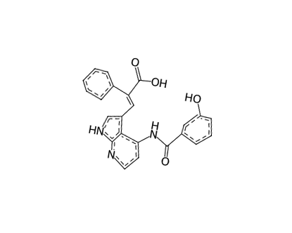 O=C(O)/C(=C/c1c[nH]c2nccc(NC(=O)c3cccc(O)c3)c12)c1ccccc1